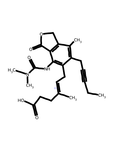 CCC#CCc1c(C)c2c(c(NC(=O)N(C)C)c1C/C=C(\C)CCC(=O)O)C(=O)OC2